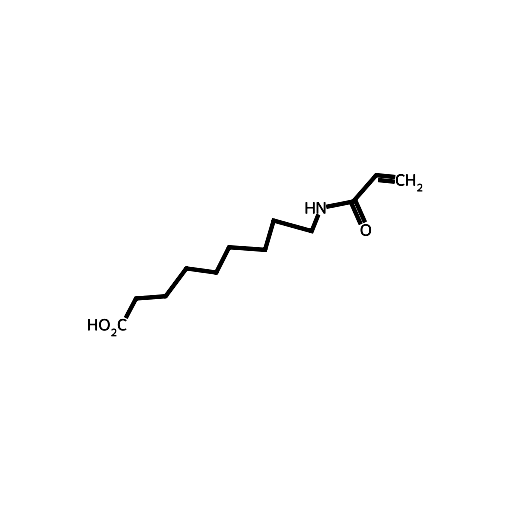 C=CC(=O)NCCCCCCCCC(=O)O